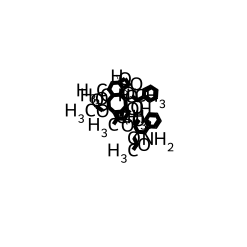 CC(=O)O[C@H]1C(=O)[C@@]2(C)[C@H]([C@H](OC(=O)c3ccccc3)[C@]3(O)C[C@H](OC(=O)[C@H](OC(C)=O)[C@@H](N)c4ccccc4)C(C)=C1C3(C)C)[C@]1(OC(C)=O)CO[C@@H]1C[C@@H]2C